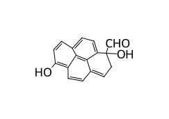 O=CC1(O)CC=c2ccc3c(O)ccc4ccc1c2c43